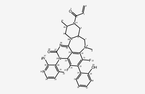 C=CC(=O)N1CC2CN(C)c3c(F)c(-c4ccccc4O)c(F)c4c3c(nc(=O)n4-c3c(C)ccnc3C(C)C)N2CC1C